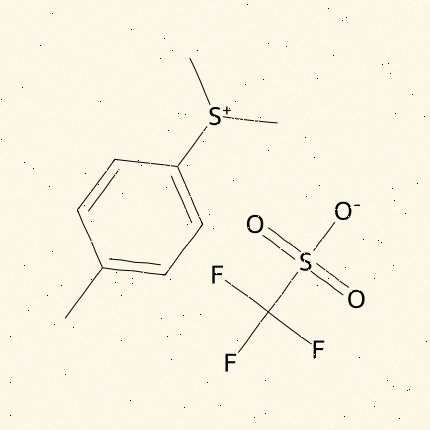 Cc1ccc([S+](C)C)cc1.O=S(=O)([O-])C(F)(F)F